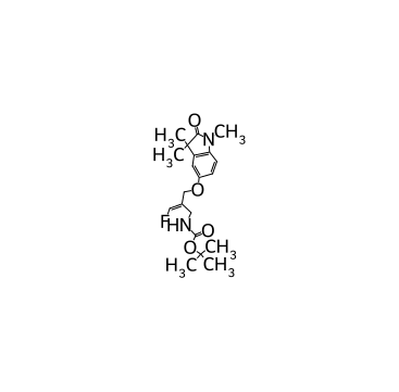 CN1C(=O)C(C)(C)c2cc(OC/C(=C/F)CNC(=O)OC(C)(C)C)ccc21